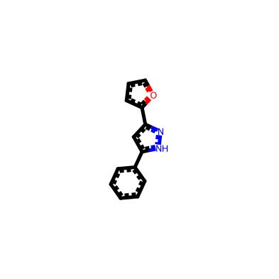 c1ccc(-c2cc(-c3ccco3)n[nH]2)cc1